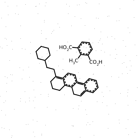 C1=c2ccccc2=c2ccc3c(c2C1)CCCC=3CCC1CCCCC1.Cc1c(C(=O)O)cccc1C(=O)O